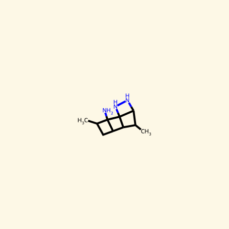 CC1C2NNC23C1C1CC(C)C13N